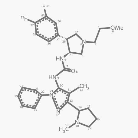 COCCN1C[C@@H](NC(=O)Nc2c(C)c(C3CCCN3C)nn2-c2ccccc2)[C@H](c2ccc(F)c(F)c2)C1